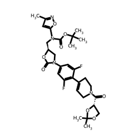 Cc1cc(N(C[C@H]2CN(c3cc(F)c(C4=CCN(C(=O)[C@@H]5COC(C)(C)O5)CC4)c(F)c3)C(=O)O2)C(=O)OC(C)(C)C)on1